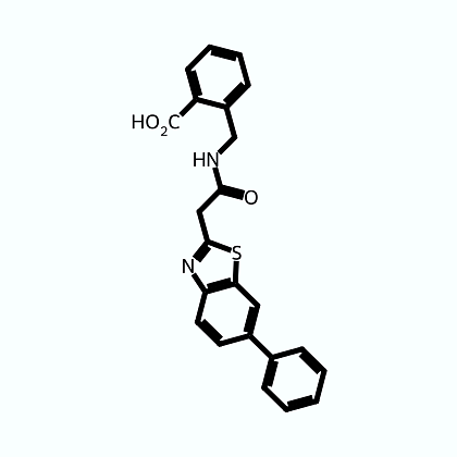 O=C(Cc1nc2ccc(-c3ccccc3)cc2s1)NCc1ccccc1C(=O)O